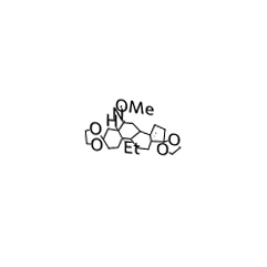 CC[C@]12CCC3(C[C@@H]1/C(=N/OC)CC1C2CC[C@@]2(C)C1CCC21OCCO1)OCCO3